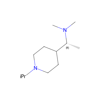 CC(C)N1CCC([C@@H](C)N(C)C)CC1